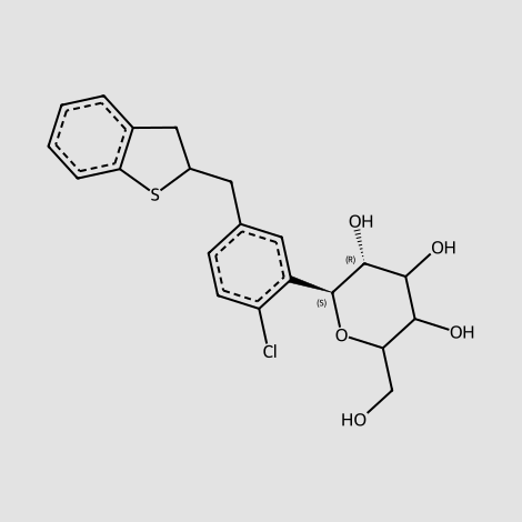 OCC1O[C@@H](c2cc(CC3Cc4ccccc4S3)ccc2Cl)[C@H](O)C(O)C1O